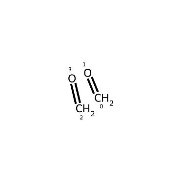 C=O.C=O